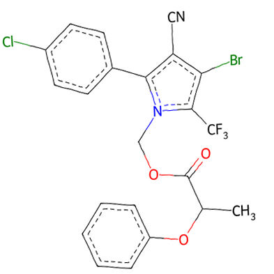 CC(Oc1ccccc1)C(=O)OCn1c(-c2ccc(Cl)cc2)c(C#N)c(Br)c1C(F)(F)F